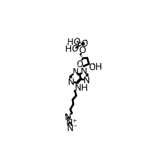 [N-]=[N+]=NCCCCCCNc1ncnc2c1ncn2[C@@H]1O[C@H](COP(=O)(O)O)C[C@H]1O